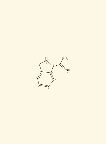 N=C(N)C1NCc2ccccc21